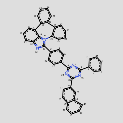 c1ccc(-c2nc(-c3ccc(-c4nc5cccc6c5n4-c4ccccc4-c4ccccc4-6)cc3)nc(-c3ccc4ccccc4c3)n2)cc1